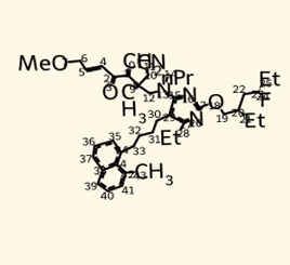 C=C(C(=O)/C=C/COC)C(C)(CC#N)CN(CCC)c1nc(OC[C@H](CC)C[C@@H](F)CC)nc(CC)c1CCCCc1cccc2cccc(C)c12